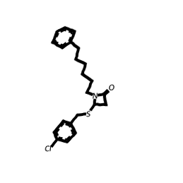 O=C1CC(SCc2ccc(Cl)cc2)N1CCCCCCc1ccccc1